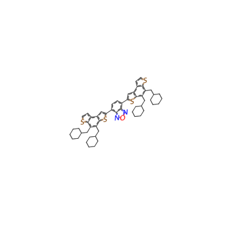 c1cc2c(s1)c(CC1CCCCC1)c(CC1CCCCC1)c1sc(-c3ccc(-c4cc5c(s4)c(CC4CCCCC4)c(CC4CCCCC4)c4sccc45)c4nonc34)cc12